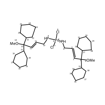 COC(C=CC[PH][Pd]([Cl])([Cl])[PH]CC=CC(OC)(C1CCCCC1)C1CCCCC1)(C1CCCCC1)C1CCCCC1